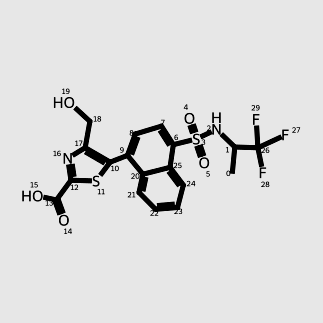 CC(NS(=O)(=O)c1ccc(-c2sc(C(=O)O)nc2CO)c2ccccc12)C(F)(F)F